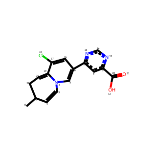 CC1C=CN2C=C(c3cc(C(=O)O)ncn3)C=C(Cl)C2=CC1